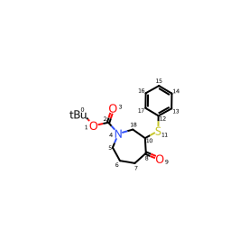 CC(C)(C)OC(=O)N1CCCC(=O)C(Sc2ccccc2)C1